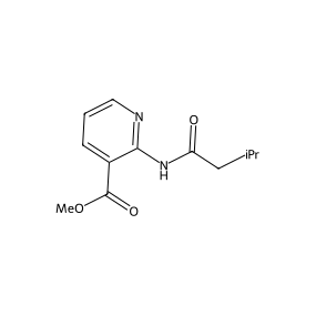 COC(=O)c1cccnc1NC(=O)CC(C)C